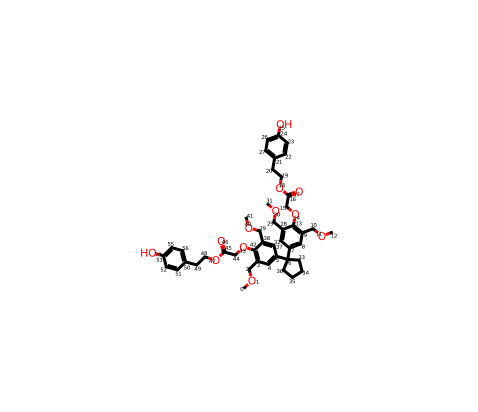 COCc1cc(C2(c3cc(COC)c(OCC(=O)OCCc4ccc(O)cc4)c(COC)c3)CCCC2)cc(COC)c1OCC(=O)OCCc1ccc(O)cc1